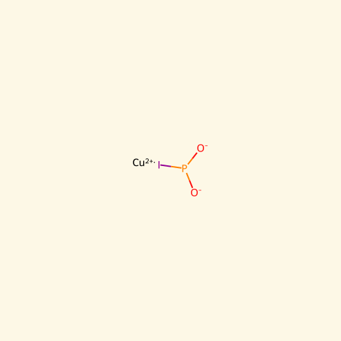 [Cu+2].[O-]P([O-])I